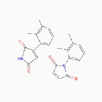 Cc1cccc(C2=CC(=O)NC2=O)c1C.Cc1cccc(N2C(=O)C=CC2=O)c1C